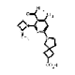 C[C@H]1CCN1c1nc(N2CCC3(CC(C(=O)O)C3)C2)cc(C(F)(F)F)c1C(N)=O